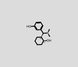 CN(C)C(c1cccc(O)c1)[C@@H]1CCCC[C@@H]1O